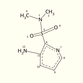 CN(C)S(=O)(=O)c1ncccc1N